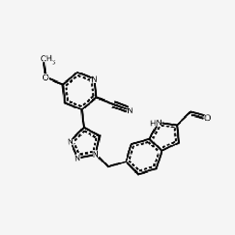 COc1cnc(C#N)c(-c2cn(Cc3ccc4cc(C=O)[nH]c4c3)nn2)c1